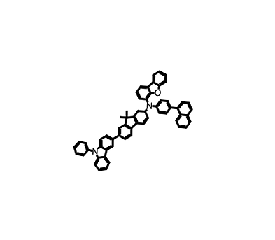 CC1(C)C2=C(C=CC(N(c3ccc(-c4cccc5ccccc45)cc3)c3cccc4c3oc3ccccc34)C2)c2ccc(-c3ccc4c(c3)c3ccccc3n4-c3ccccc3)cc21